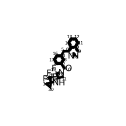 O=C(c1cc(Cc2nncc3ccccc23)ccc1F)N1CC(NC2(C(F)(F)F)CC2)C1